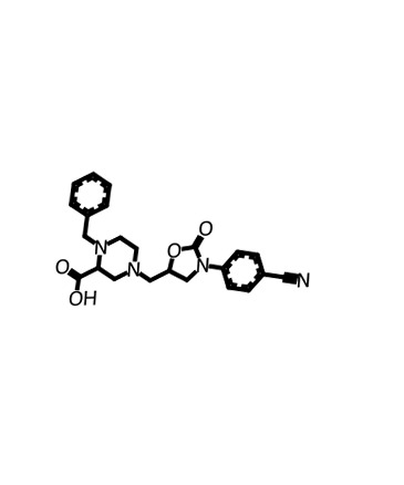 N#Cc1ccc(N2CC(CN3CCN(Cc4ccccc4)C(C(=O)O)C3)OC2=O)cc1